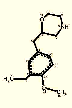 CCc1cc(CC2CNCCO2)ccc1OC